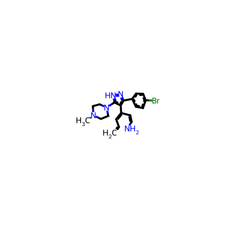 C=C/C=C(\C=C/N)c1c(-c2ccc(Br)cc2)n[nH]c1N1CCN(C)CC1